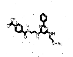 CC(=O)NCCNc1cc(NCCNC(=O)c2ccc(C(=O)C(F)(F)F)cc2)nc(-c2ccccc2)n1